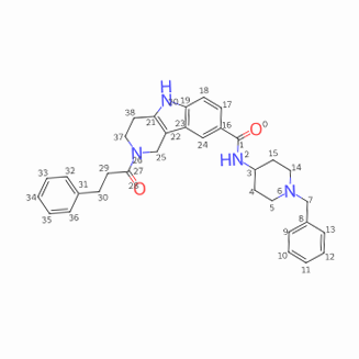 O=C(NC1CCN(Cc2ccccc2)CC1)c1ccc2[nH]c3c(c2c1)CN(C(=O)CCc1ccccc1)CC3